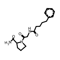 NC(=O)C1CCCN1C(=O)CNC(=O)CCCCc1ccccc1